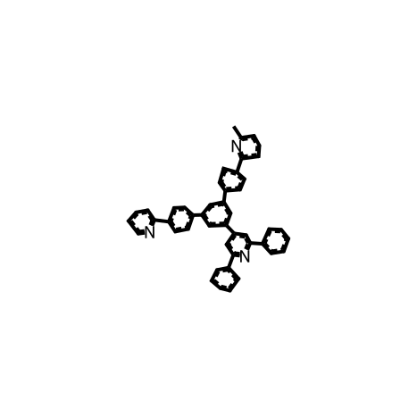 Cc1cccc(-c2ccc(-c3cc(-c4ccc(-c5ccccn5)cc4)cc(-c4cc(-c5ccccc5)nc(-c5ccccc5)c4)c3)cc2)n1